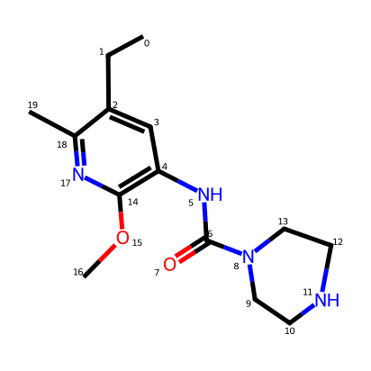 CCc1cc(NC(=O)N2CCNCC2)c(OC)nc1C